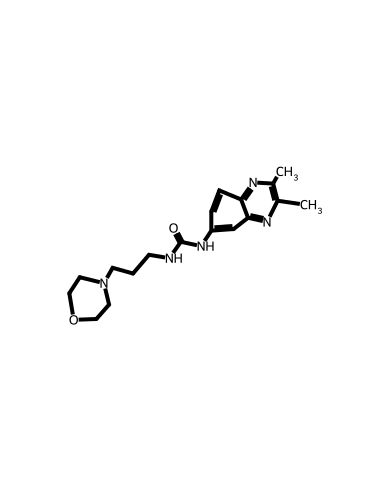 Cc1nc2ccc(NC(=O)NCCCN3CCOCC3)cc2nc1C